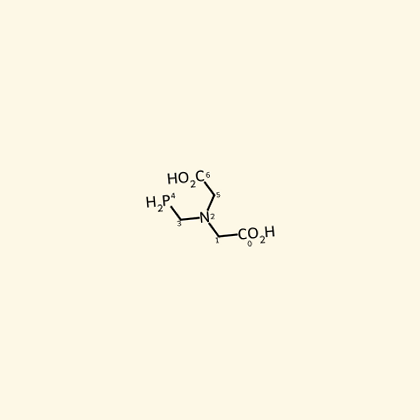 O=C(O)CN(CP)CC(=O)O